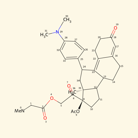 CNCC(=O)OCC(=O)[C@@]1(OC(C)=O)CCC2C3CCC4=CC(=O)CCC4=C3C(c3ccc(N(C)C)cc3)C[C@@]21C